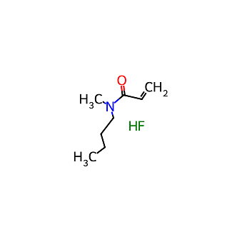 C=CC(=O)N(C)CCCC.F